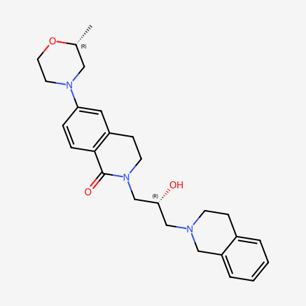 C[C@@H]1CN(c2ccc3c(c2)CCN(C[C@H](O)CN2CCc4ccccc4C2)C3=O)CCO1